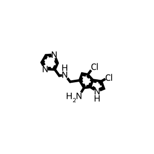 Nc1c(CNCc2cnccn2)cc(Cl)c2c(Cl)c[nH]c12